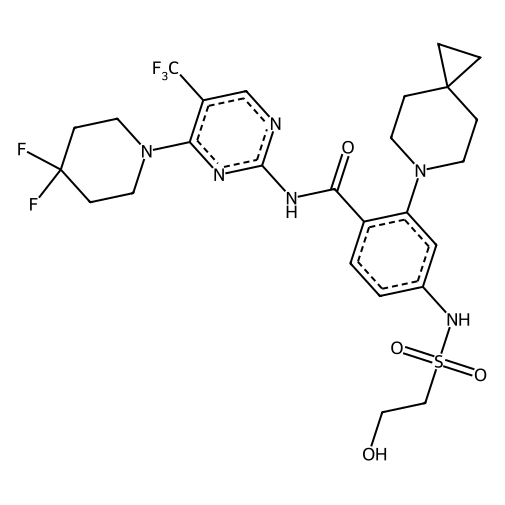 O=C(Nc1ncc(C(F)(F)F)c(N2CCC(F)(F)CC2)n1)c1ccc(NS(=O)(=O)CCO)cc1N1CCC2(CC1)CC2